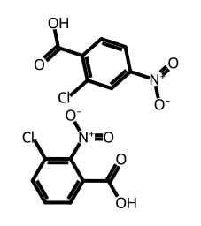 O=C(O)c1ccc([N+](=O)[O-])cc1Cl.O=C(O)c1cccc(Cl)c1[N+](=O)[O-]